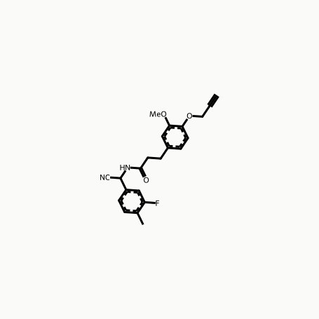 C#CCOc1ccc(CCC(=O)NC(C#N)c2ccc(C)c(F)c2)cc1OC